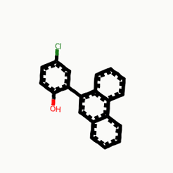 Oc1ccc(Cl)cc1-c1cc2ccccc2c2ccccc12